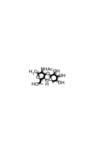 CC(=O)NC1C(O[C@@H]2OC[C@H](O)C(O)C2O)[C@H](O)C(CO)O[C@H]1C